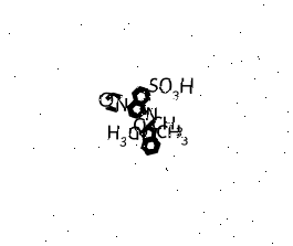 CN1c2ccccc2C(C)(C)C12C=Nc1c(cc(N3CCOCC3)c3ccc(S(=O)(=O)O)cc13)O2